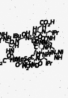 CC[C@H](C)[C@@H]1NC(=O)[C@H](CCCNC(=N)N)NC(=O)[C@H](CCC(=O)O)NC(=O)[C@@](C)(NC(C)=O)CCC/C=C\CCC[C@@](C)(C(=O)N[C@@H](CCC(=O)O)C(=O)N[C@@H](CC(C)C)C(=O)N[C@@H](CCCNC(=N)N)C(=O)N[C@@H](CC(N)=O)C(=O)N[C@@H](CC(C)C)C(=O)N[C@@H](CCSC)C(N)=O)NC1=O